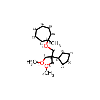 COCC(COC)(COC1(C)CCCCCC1)C1CCCC1